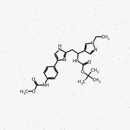 CCn1cc(C(Cc2nc(-c3ccc(NC(=O)OC)cc3)c[nH]2)NC(=O)OC(C)(C)C)cn1